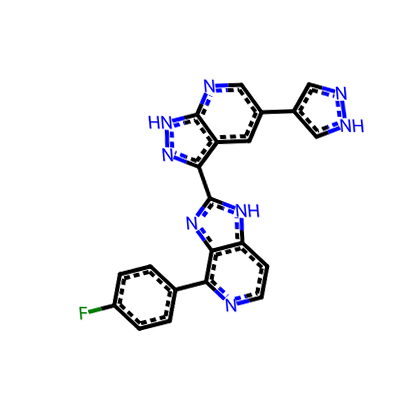 Fc1ccc(-c2nccc3[nH]c(-c4n[nH]c5ncc(-c6cn[nH]c6)cc45)nc23)cc1